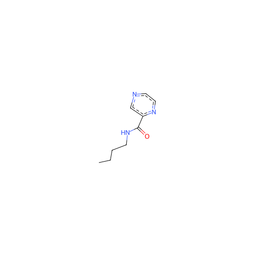 CCCCNC(=O)c1cnccn1